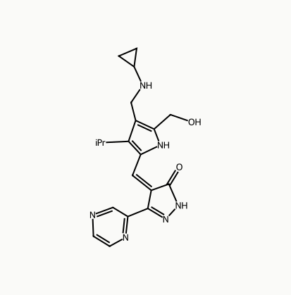 CC(C)c1c(C=C2C(=O)NN=C2c2cnccn2)[nH]c(CO)c1CNC1CC1